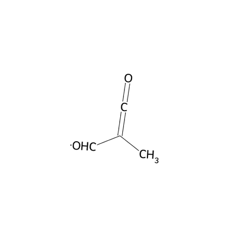 CC([C]=O)=C=O